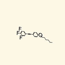 CCCCCCOc1ccc(C#Cc2cc(F)c(F)c(F)c2)cc1